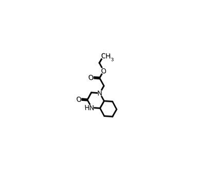 CCOC(=O)CN1CC(=O)NC2CCCCC21